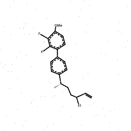 C=CC(CC)CC[C@H](C)c1ccc(-c2ccc(OC)c(F)c2F)cc1